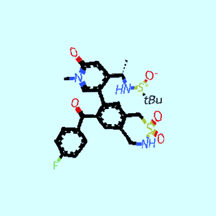 C[C@H](N[S@@+]([O-])C(C)(C)C)c1cc(=O)n(C)cc1-c1cc2c(cc1C(=O)c1ccc(F)cc1)CNS(=O)(=O)C2